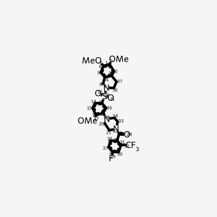 COc1cc2c(cc1OC)CN(S(=O)(=O)c1ccc(OC)c(N3CCN(C(=O)c4ccc(F)cc4C(F)(F)F)CC3)c1)CC2